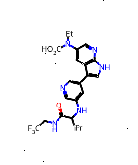 CCN(C(=O)O)c1cnc2[nH]cc(-c3cncc(NC(C(=O)NCC(F)(F)F)C(C)C)c3)c2c1